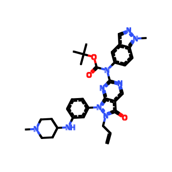 C=CCn1c(=O)c2cnc(N(C(=O)OC(C)(C)C)c3ccc4c(cnn4C)c3)nc2n1-c1cccc(NC2CCN(C)CC2)c1